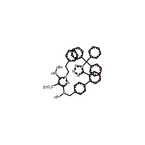 CCCCNc1c(C(=O)OCC)c(N(CCC)Cc2ccc(-c3ccccc3-c3nnnn3C(c3ccccc3)(c3ccccc3)c3ccccc3)cc2)nn1CCc1ccccc1